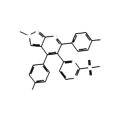 Cn1cc2c(-c3ccc(O)cc3)c(-c3ccnc(S(C)(=O)=O)n3)c(-c3ccc(F)cc3)nc2n1